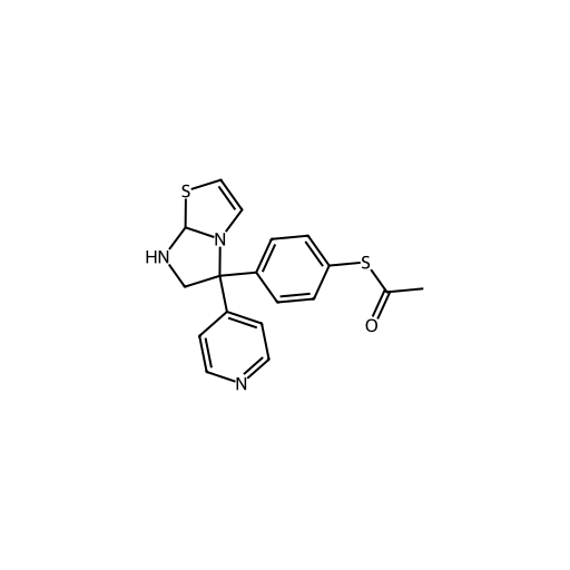 CC(=O)Sc1ccc(C2(c3ccncc3)CNC3SC=CN32)cc1